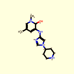 CC1=CN(C)C(O)C(Nc2cn(C3CCNCC3)cn2)=C1